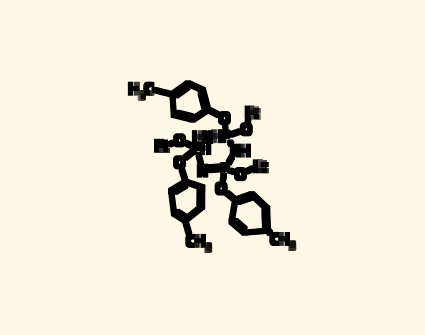 CCOP1(Oc2ccc(C)cc2)=N[PH](OCC)(Oc2ccc(C)cc2)N[PH](OCC)(Oc2ccc(C)cc2)N1